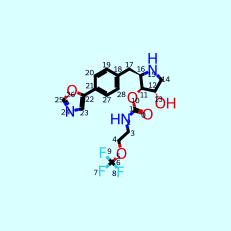 O=C(NCCOC(F)(F)F)O[C@@H]1[C@@H](O)CN[C@@H]1Cc1ccc(-c2cnco2)cc1